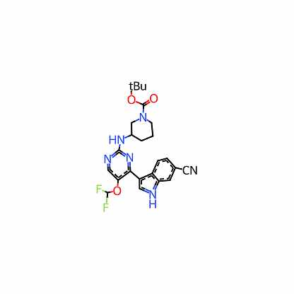 CC(C)(C)OC(=O)N1CCCC(Nc2ncc(OC(F)F)c(-c3c[nH]c4cc(C#N)ccc34)n2)C1